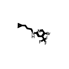 FC(F)(F)c1cc(NCCCC2CC2)ncc1Br